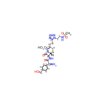 CS(=O)(=O)NCCn1nnnc1SCC1=C(C(=O)O)N2C(=O)[C@@H](NC(=O)C(N)c3ccc(CO)cc3)[C@H]2SC1